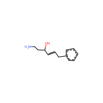 NCCC(O)C=CCc1ccccc1